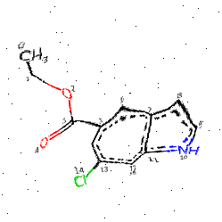 CCOC(=O)c1cc2cc[nH]c2cc1Cl